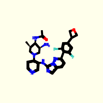 CC(=O)N[C@@H]1[C@H](N)CN(c2ccncc2Nc2ncc3ccc(-c4c(F)cc(C5COC5)cc4F)nn23)C[C@@H]1C